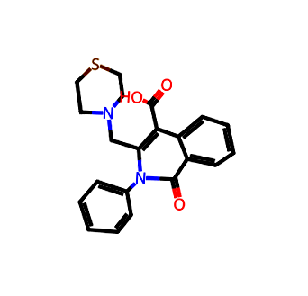 O=C(O)c1c(CN2CCSCC2)n(-c2ccccc2)c(=O)c2ccccc12